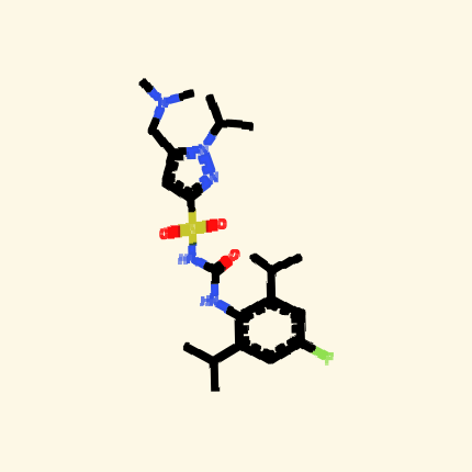 CC(C)c1cc(F)cc(C(C)C)c1NC(=O)NS(=O)(=O)c1cc(CN(C)C)n(C(C)C)n1